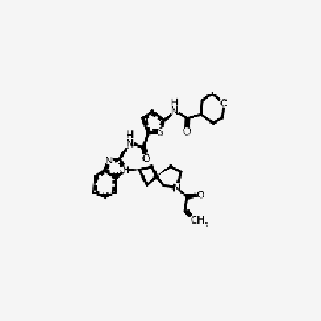 C=CC(=O)N1CC[C@]2(C1)C[C@H](n1c(NC(=O)c3ccc(NC(=O)C4CCOCC4)s3)nc3ccccc31)C2